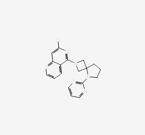 Clc1cc2ncccc2c(N2CC3(CCCN3c3ncccn3)C2)n1